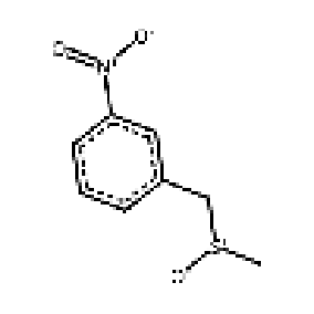 C[S+]([O-])Cc1cccc([N+](=O)[O-])c1